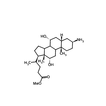 COC(=O)CCC(C)[C@H]1CCC2C3C(C[C@H](O)[C@@]21C)[C@@]1(C)CC[C@H](N)C[C@H]1C[C@H]3O